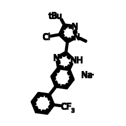 Cn1nc(C(C)(C)C)c(Cl)c1-c1nc2cc(-c3ccccc3C(F)(F)F)ccc2[nH]1.[Na]